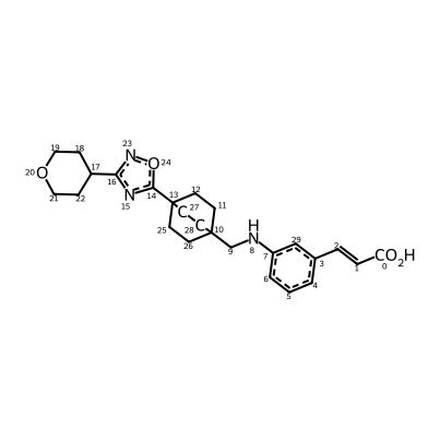 O=C(O)/C=C/c1cccc(NCC23CCC(c4nc(C5CCOCC5)no4)(CC2)CC3)c1